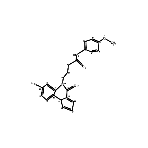 COc1ccc(NC(=O)CCCn2c(=O)c3cccn3c3ccc(F)cc32)cc1